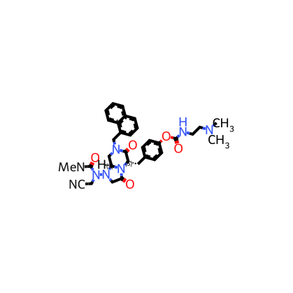 CNC(=O)N(CC#N)N1CC(=O)N2[C@@H](Cc3ccc(OC(=O)NCCN(C)C)cc3)C(=O)N(Cc3cccc4ccccc34)C[C@@H]21